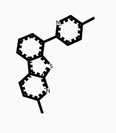 Cc1ccc(-c2cccc3c2sc2nc(C)ccc23)nc1